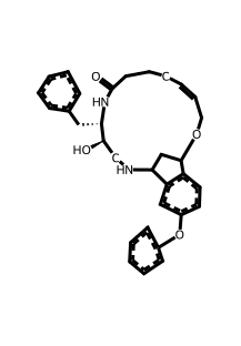 O=C1CCCC=CCOC2CC(NC[C@@H](O)[C@H](Cc3ccccc3)N1)c1cc(Oc3ccccc3)ccc12